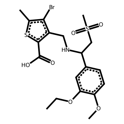 CCOc1cc(C(CS(C)(=O)=O)NCc2c(C(=O)O)sc(C)c2Br)ccc1OC